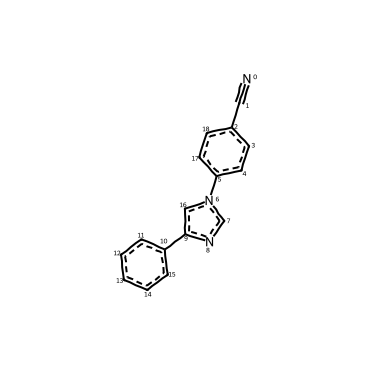 N#Cc1ccc(-n2cnc(-c3ccccc3)c2)cc1